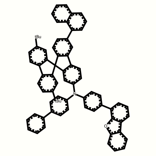 CC(C)(C)c1ccc2c(c1)C1(c3ccc(-c4cccc5ccccc45)cc3-c3ccc(N(c4ccc(-c5ccccc5)cc4)c4ccc(-c5cccc6c5oc5ccccc56)cc4)cc31)c1cc(C(C)(C)C)ccc1-2